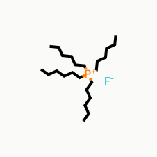 CCCCCC[P+](CCCCCC)(CCCCCC)CCCCCC.[F-]